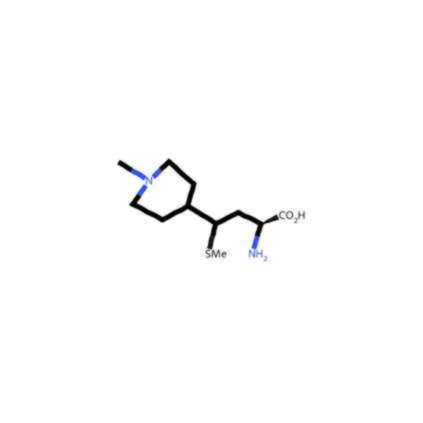 CSC(C[C@H](N)C(=O)O)C1CCN(C)CC1